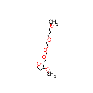 COCCCOCCOCOC[C@H]1OCCC1OC